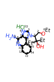 CCOCC(n1cnc2c(N)nc3ccccc3c21)C(O)(CC)CC.Cl